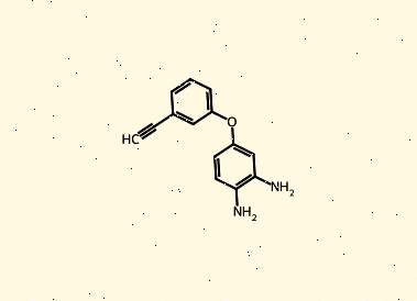 C#Cc1cccc(Oc2ccc(N)c(N)c2)c1